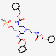 CS(=O)(=O)OCCCC(CN(CCNC(=O)OCc1ccccc1)CCNC(=O)OCc1ccccc1)NC(=O)OCc1ccccc1